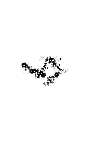 Nc1nc2ncc(CNc3ccc(C(=O)NC(CCC(=O)NCC(N)C(=O)NC(CC(=O)O)C(=O)NC(CSSCCNC(=O)Oc4cc5c(c6ccccc46)C(CCl)CN5C(=O)c4cc5cc(NC(=O)c6cc7ccccc7[nH]6)ccc5[nH]4)C(=O)O)C(=O)O)cc3)nc2c(=O)[nH]1